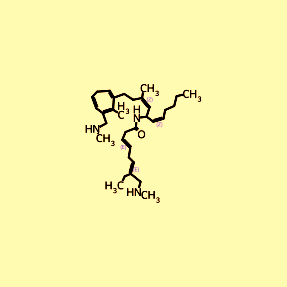 CCCC/C=C\C(/C=C(/C)CCC1=CCC=CC(CNC)=C1C)NC(=O)C/C=C/C/C=C(\CC)CNC